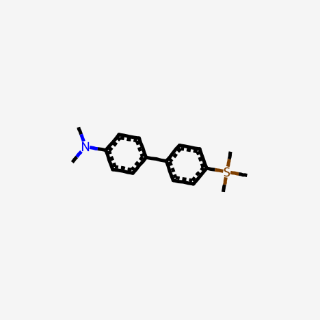 CN(C)c1ccc(-c2ccc(S(C)(C)C)cc2)cc1